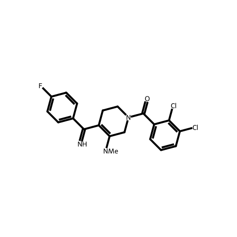 CNC1=C(C(=N)c2ccc(F)cc2)CCN(C(=O)c2cccc(Cl)c2Cl)C1